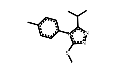 CSc1nnc(C(C)C)n1-c1ccc(C)cc1